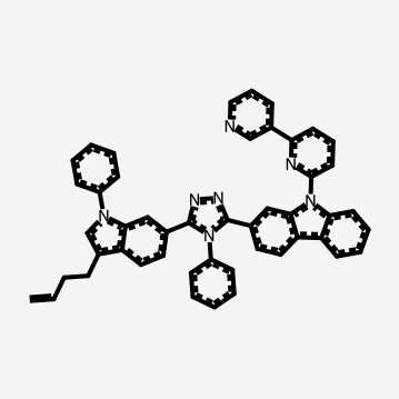 C=CCCc1cn(-c2ccccc2)c2cc(-c3nnc(-c4ccc5c6ccccc6n(-c6cccc(-c7cccnc7)n6)c5c4)n3-c3ccccc3)ccc12